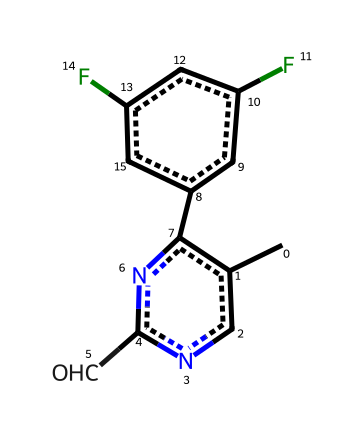 Cc1cnc(C=O)nc1-c1cc(F)cc(F)c1